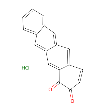 Cl.O=C1C=Cc2cc3cc4ccccc4cc3cc2C1=O